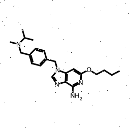 CCCCOc1cc2c(ncn2Cc2ccc(CN(C)C(C)C)cc2)c(N)n1